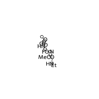 CCNCCCCOc1cc2nccc(Oc3ccc(NC(=O)C(=O)N4CCOC(c5ccccc5)C4)cc3F)c2cc1OC